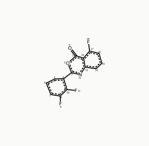 O=c1oc(-c2cccc(F)c2F)nc2cccc(F)c12